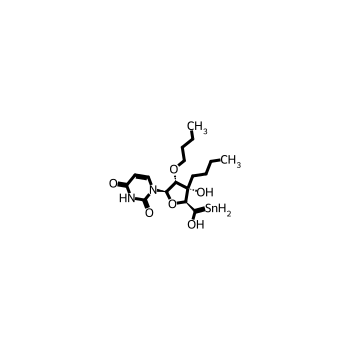 CCCCO[C@H]1[C@H](n2ccc(=O)[nH]c2=O)O[C@H]([C](O)=[SnH2])[C@]1(O)CCCC